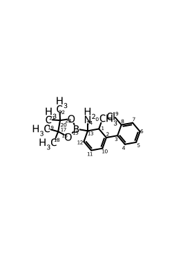 CC1C(c2ccccc2Cl)=CC=CC1(N)B1OC(C)(C)C(C)(C)O1